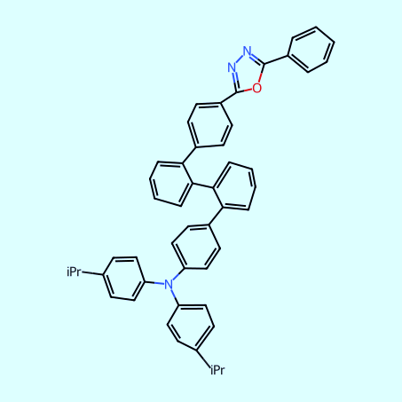 CC(C)c1ccc(N(c2ccc(-c3ccccc3-c3ccccc3-c3ccc(-c4nnc(-c5ccccc5)o4)cc3)cc2)c2ccc(C(C)C)cc2)cc1